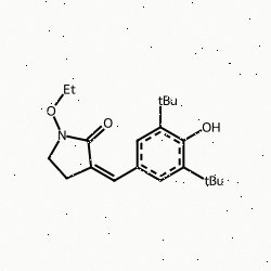 CCON1CCC(=Cc2cc(C(C)(C)C)c(O)c(C(C)(C)C)c2)C1=O